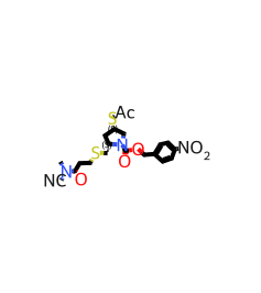 CC(=O)S[C@H]1C[C@@H](CSCCC(=O)N(C)C#N)N(C(=O)OCc2ccc([N+](=O)[O-])cc2)C1